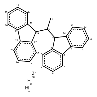 CC(C1c2ccccc2-c2ccccc21)C1c2ccccc2-c2ccccc21.I.I.[Zr]